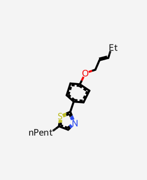 CCC=CCOc1ccc(-c2ncc(CCCCC)s2)cc1